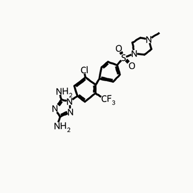 CN1CCN(S(=O)(=O)c2ccc(-c3c(Cl)cc(-n4nc(N)nc4N)cc3C(F)(F)F)cc2)CC1